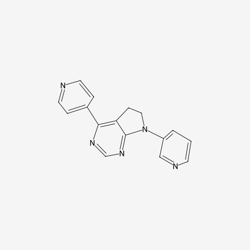 c1cncc(N2CCc3c(-c4ccncc4)ncnc32)c1